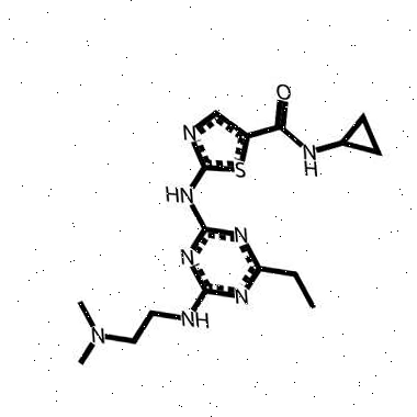 CCc1nc(NCCN(C)C)nc(Nc2ncc(C(=O)NC3CC3)s2)n1